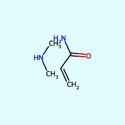 C=CC(N)=O.CNC